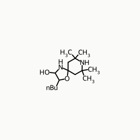 CCCCC1OC2(CC(C)(C)NC(C)(C)C2)NC1O